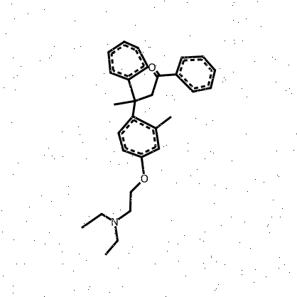 CCN(CC)CCOc1ccc(C(C)(CC(=O)c2ccccc2)c2ccccc2)c(C)c1